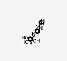 Oc1c(Br)cc(/C=N/c2ccc3[nH]c(-c4cc[nH]n4)nc3c2)c(O)c1Br